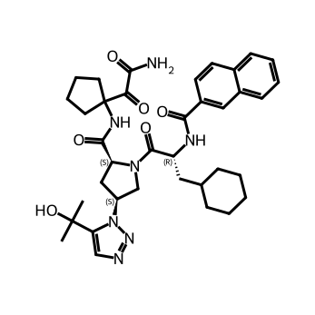 CC(C)(O)c1cnnn1[C@H]1C[C@@H](C(=O)NC2(C(=O)C(N)=O)CCCC2)N(C(=O)[C@@H](CC2CCCCC2)NC(=O)c2ccc3ccccc3c2)C1